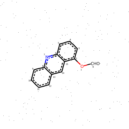 O=[C]Oc1cccc2nc3ccccc3cc12